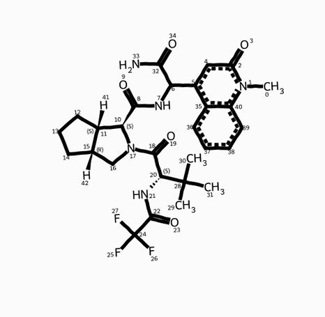 Cn1c(=O)cc(C(NC(=O)[C@@H]2[C@H]3CCC[C@H]3CN2C(=O)[C@@H](NC(=O)C(F)(F)F)C(C)(C)C)C(N)=O)c2ccccc21